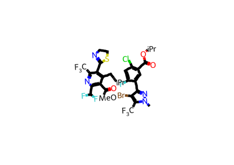 CC(C)OC(=O)c1cc(-c2nn(C)c(C(F)(F)F)c2Br)c(F)cc1Cl.COC(=O)c1c(C(F)F)nc(C(F)(F)F)c(C2=NCCS2)c1CC(C)C